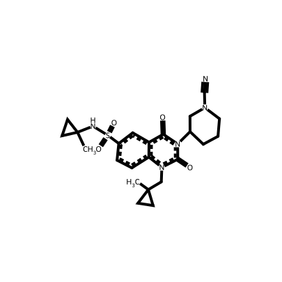 CC1(Cn2c(=O)n(C3CCCN(C#N)C3)c(=O)c3cc(S(=O)(=O)NC4(C)CC4)ccc32)CC1